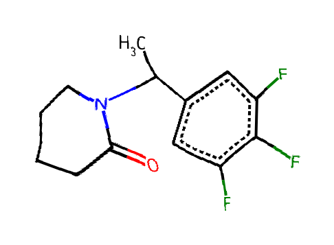 CC(c1cc(F)c(F)c(F)c1)N1CCCCC1=O